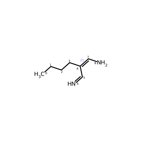 CCCC/C(C=N)=C/N